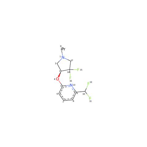 CC(C)N1C[C@H](Oc2cccc(C(F)F)n2)C(F)(F)C1